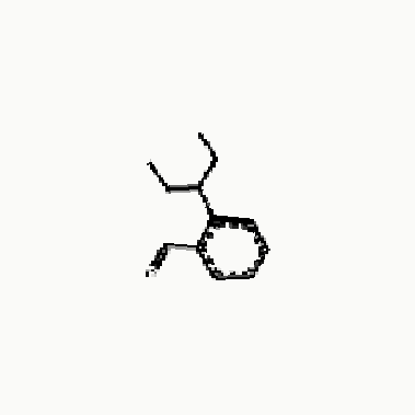 CCC(CC)c1ccccc1C=O